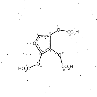 O=C(O)Oc1coc(OC(=O)O)c1OC(=O)O